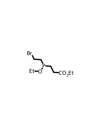 CCOC(=O)CCP(CCBr)OCC